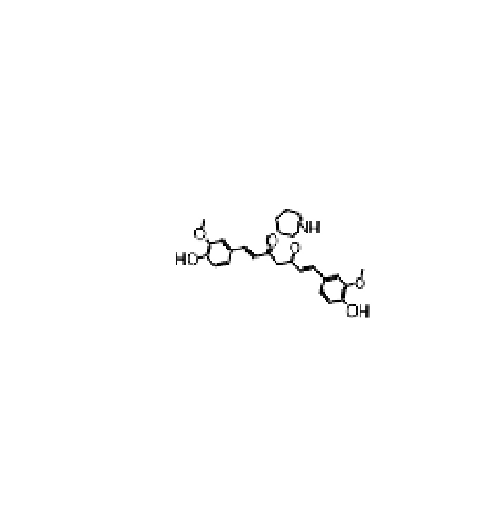 C1CCNCC1.COc1cc(/C=C/C(=O)CC(=O)/C=C/c2ccc(O)c(OC)c2)ccc1O